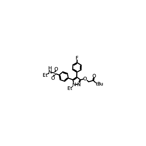 CCNS(=O)(=O)c1ccc(-c2c(-c3ccc(F)cc3)c(OCC(=O)C(C)(C)C)nn2CC)cc1